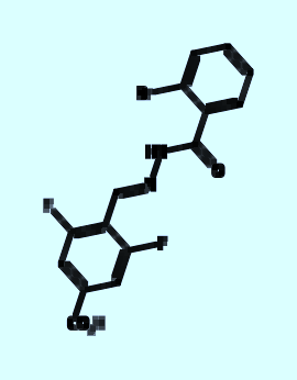 O=C(O)c1cc(F)c(C=NNC(=O)c2ccccc2Br)c(F)c1